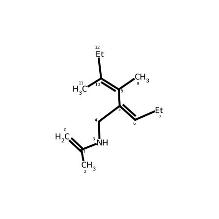 C=C(C)NCC(=C/CC)/C(C)=C(\C)CC